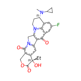 CC[C@@]1(O)C(=O)OCc2c1cc1n(c2=O)Cc2c-1c(=O)c1cc(F)cc3c1n2CC[C@@H]3N(C)C1CC1